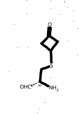 N[C@H](C=O)CSC1CC(=O)C1